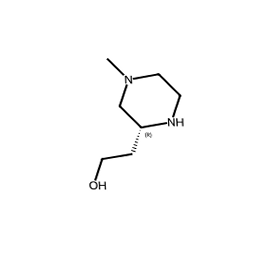 CN1CCN[C@H](CCO)C1